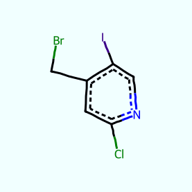 Clc1cc(CBr)c(I)cn1